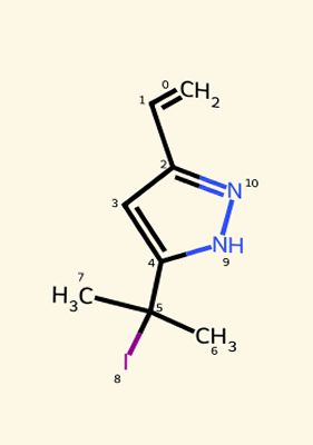 C=Cc1cc(C(C)(C)I)[nH]n1